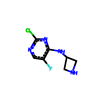 Fc1cnc(Cl)nc1NC1CNC1